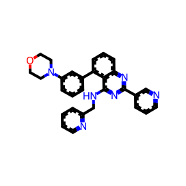 c1ccc(CNc2nc(-c3cccnc3)nc3cccc(-c4cccc(N5CCOCC5)c4)c23)nc1